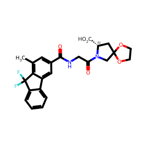 Cc1cc(C(=O)NCC(=O)N2CC3(C[C@H]2C(=O)O)OCCO3)cc2c1C(F)(F)c1ccccc1-2